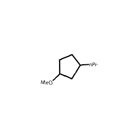 CC[CH]C1CCC(OC)C1